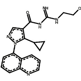 N=C(NCCO)NC(=O)c1cnn(-c2cccc3ncccc23)c1C1CC1